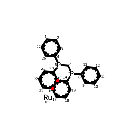 [Ru].c1ccc(P(CP(c2ccccc2)c2ccccc2)c2ccccc2)cc1